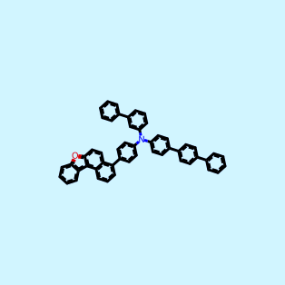 c1ccc(-c2ccc(-c3ccc(N(c4ccc(-c5cccc6c5ccc5oc7ccccc7c56)cc4)c4cccc(-c5ccccc5)c4)cc3)cc2)cc1